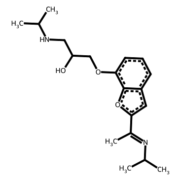 CC(=NC(C)C)c1cc2cccc(OCC(O)CNC(C)C)c2o1